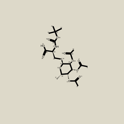 CC(=O)O[C@@H]1[C@H](OC(C)=O)[C@H](C)O[C@@H](SC[C@H](NC(=O)OC(C)(C)C)C(=O)O)[C@H]1OC(C)=O